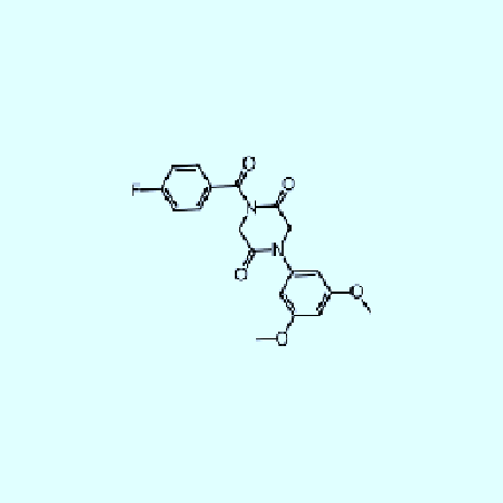 COc1cc(OC)cc(N2CC(=O)N(C(=O)c3ccc(F)cc3)CC2=O)c1